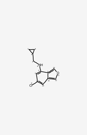 Clc1cc(NCC2CC2)c2co[c]c2c1